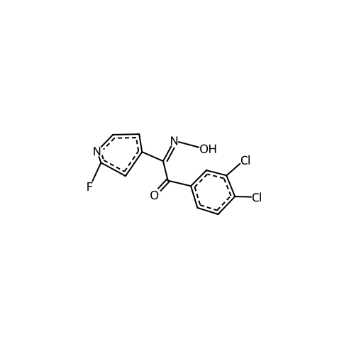 O=C(C(=NO)c1ccnc(F)c1)c1ccc(Cl)c(Cl)c1